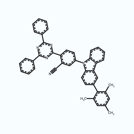 Cc1cc(C)c(-c2ccc3c(c2)c2ccccc2n3-c2ccc(-c3nc(-c4ccccc4)nc(-c4ccccc4)n3)c(C#N)c2)c(C)c1